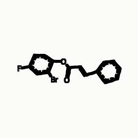 O=C(C=Cc1ccccc1)Oc1ccc(F)cc1Br